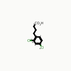 O=C(O)CCCc1ccc(Cl)cc1Cl